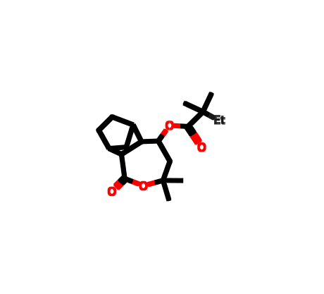 CCC(C)(C)C(=O)OC1CC(C)(C)OC(=O)C2C3CCC(C3)C12